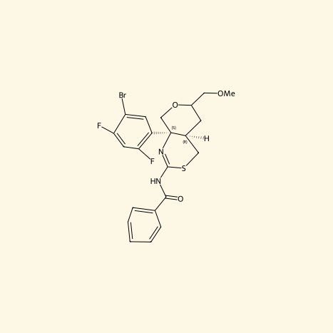 COCC1C[C@H]2CSC(NC(=O)c3ccccc3)=N[C@@]2(c2cc(Br)c(F)cc2F)CO1